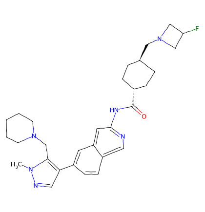 Cn1ncc(-c2ccc3cnc(NC(=O)[C@H]4CC[C@H](CN5CC(F)C5)CC4)cc3c2)c1CN1CCCCC1